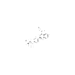 N=CC(=O)c1cc(-c2ccc(NC(=O)C(F)(F)F)cc2)nc2ccccc12